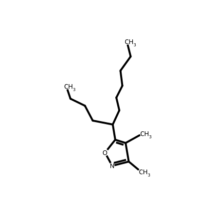 CCCCCCC(CCCC)c1onc(C)c1C